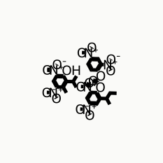 CCC(C)c1cc([N+](=O)[O-])cc([N+](=O)[O-])c1OC(=O)Oc1ccc([N+](=O)[O-])cc1[N+](=O)[O-].Cc1c([N+](=O)[O-])cc([N+](=O)[O-])c(O)c1C(C)C